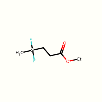 CCOC(=O)CC[Si](C)(F)F